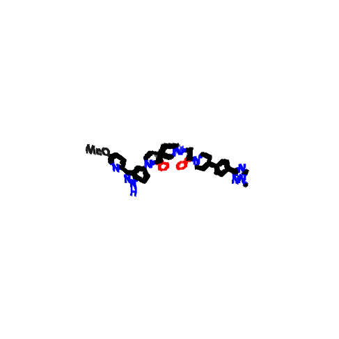 COc1ccc(-c2n[nH]c3ccc(N4CC[C@]5(CCN(CC(=O)N6CC=C(c7ccc(-c8ncn(C)n8)cc7)CC6)C5)C4=O)cc23)nc1